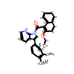 COc1ccc(-c2cn(C(=O)c3c(OCC(F)(F)F)ccc4ccccc34)c3ncccc23)cc1OC